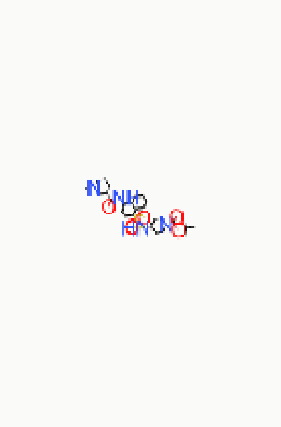 CN1CCCC(C(=O)Nc2ccc(S(=O)(=O)NC3CCN(C(=O)OC(C)(C)C)CC3)c3ccccc23)C1